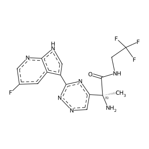 C[C@@](N)(C(=O)NCC(F)(F)F)c1cnnc(-c2c[nH]c3ncc(F)cc23)n1